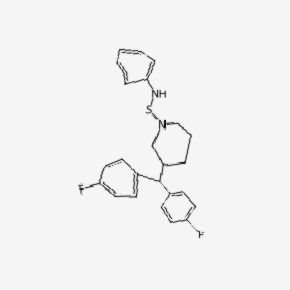 Fc1ccc(C(c2ccc(F)cc2)C2CCCN(SNc3ccccc3)C2)cc1